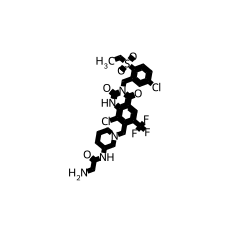 CCS(=O)(=O)c1ccc(Cl)cc1Cn1c(=O)[nH]c2c(Cl)c(CN3CCCC(NC(=O)CN)C3)c(C(F)(F)F)cc2c1=O